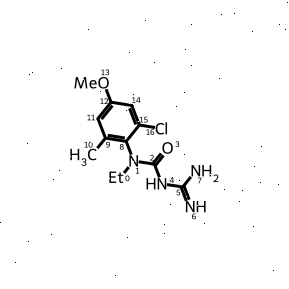 CCN(C(=O)NC(=N)N)c1c(C)cc(OC)cc1Cl